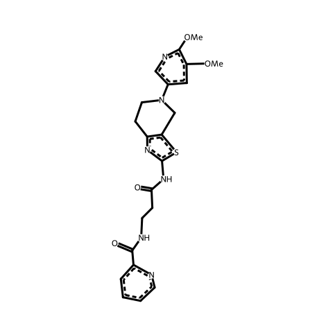 COc1cc(N2CCc3nc(NC(=O)CCNC(=O)c4ccccn4)sc3C2)cnc1OC